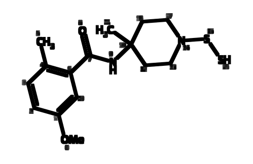 COc1ccc(C)c(C(=O)NC2(C)CCN(SS)CC2)c1